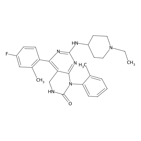 CCN1CCC(Nc2nc(-c3ccc(F)cc3C)c3c(n2)N(c2ccccc2C)C(=O)NC3)CC1